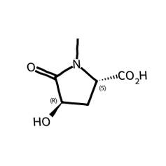 CN1C(=O)[C@H](O)C[C@H]1C(=O)O